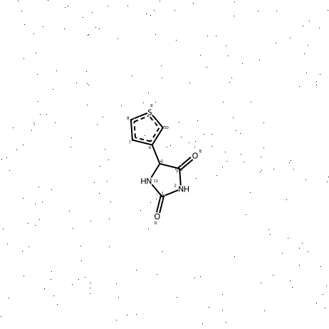 O=C1NC(=O)C(c2ccsc2)N1